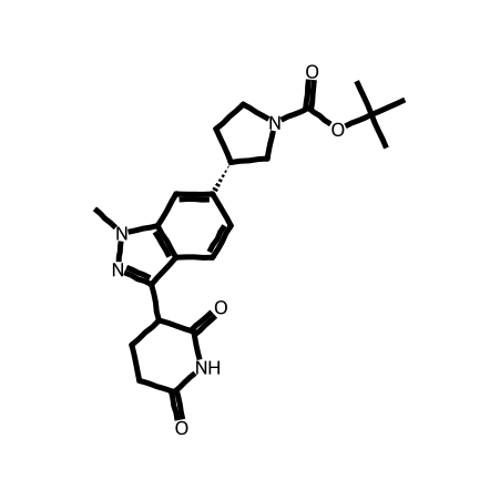 Cn1nc(C2CCC(=O)NC2=O)c2ccc([C@@H]3CCN(C(=O)OC(C)(C)C)C3)cc21